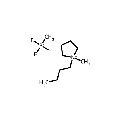 CCCC[N+]1(C)CCCC1.C[B-](F)(F)F